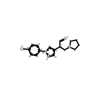 O=CC(CN1CCCC1)c1cnn(-c2ccc(Cl)cc2)c1